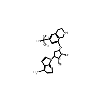 Cc1ccnc2c1ccn2C1CC(Oc2cc(C(C)(C)O)cc3c2CNCC3)[C@@H](O)[C@H]1O